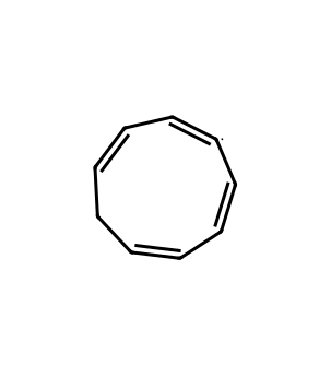 [C]1=CC=CCC=CC=C1